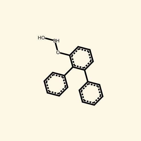 OBOc1cccc(-c2ccccc2)c1-c1ccccc1